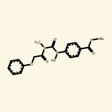 CCCCOC(=O)c1ccc(N(S)C(=O)N(C)C(=O)COc2ccccc2)cc1